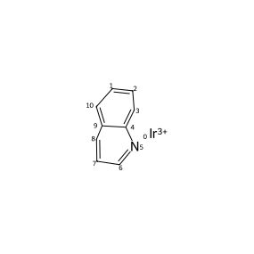 [Ir+3].c1ccc2ncccc2c1